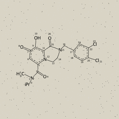 CC(C)N(C)C(=O)c1cc(=O)c(O)c2n1CCN(Cc1ccc(Cl)c(Cl)c1)C2=O